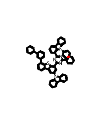 c1ccc(-c2cccc(-c3cccc4c3sc3c(-c5nc(-c6ccccc6)nc(-c6cccc7c8ccccc8n(-c8ccccc8)c67)n5)cc(-n5c6ccccc6c6ccccc65)cc34)c2)cc1